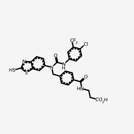 O=C(O)CCNC(=O)c1ccc(CN(C(=O)Nc2ccc(Cl)c(C(F)(F)F)c2)c2ccc3nc(S)sc3c2)cc1